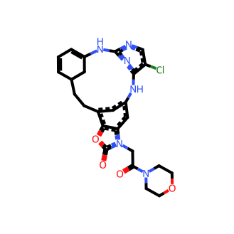 O=C(Cn1c(=O)oc2c3cc(cc21)Nc1nc(ncc1Cl)NC1=CC=CC(CC3)C1)N1CCOCC1